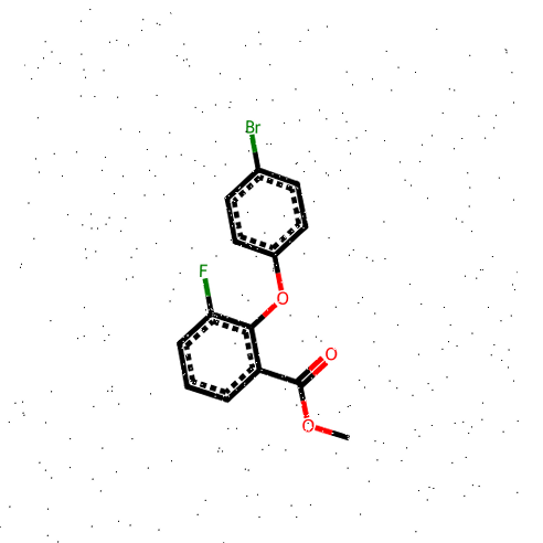 COC(=O)c1cccc(F)c1Oc1ccc(Br)cc1